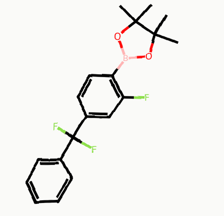 CC1(C)OB(c2ccc(C(F)(F)c3ccccc3)cc2F)OC1(C)C